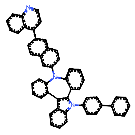 c1ccc(-c2ccc(-n3c4c(c5ccccc53)-c3ccccc3N(c3ccc5cc(-c6ccnc7ccccc67)ccc5c3)c3ccccc3-4)cc2)cc1